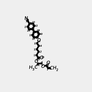 C=CC(=O)OCC(C)OC(=O)CCCCCOc1ccc(-c2ccc(C#N)cc2)cc1